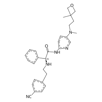 CN(CCC1(C)COC1)c1ccc(NC(=O)[C@@H](NCCc2ccc(C#N)cc2)c2ccccc2)nc1